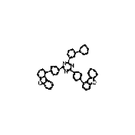 c1ccc(-c2cccc(-c3nc(-c4ccc(-c5cccc6oc7ccccc7c56)cc4)nc(-c4ccc(-c5cccc6oc7ccccc7c56)cc4)n3)c2)cc1